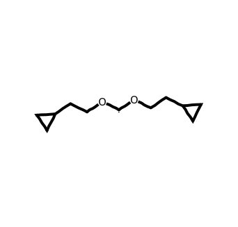 [CH](OCCC1CC1)OCCC1CC1